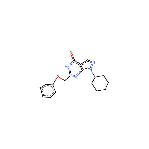 O=c1[nH]c(COc2ccccc2)nc2c1cnn2C1CCCCC1